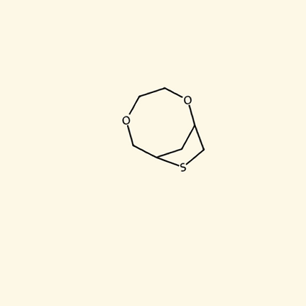 C1COC2CSC(CO1)C2